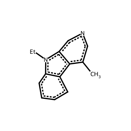 CCn1c2ccccc2c2c(C)cncc21